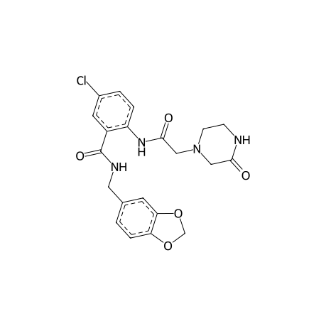 O=C1CN(CC(=O)Nc2ccc(Cl)cc2C(=O)NCc2ccc3c(c2)OCO3)CCN1